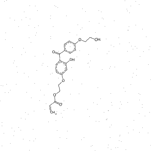 C=CC(=O)OCCOc1ccc(C(=O)c2ccc(OCCO)cc2)c(O)c1